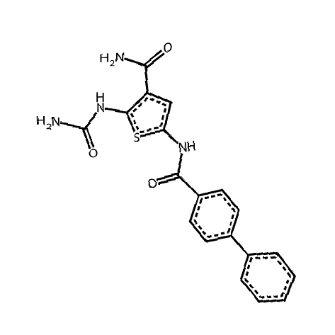 NC(=O)Nc1sc(NC(=O)c2ccc(-c3ccccc3)cc2)cc1C(N)=O